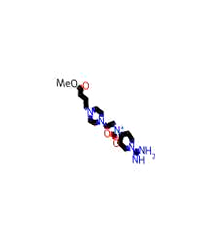 COC(=O)CCCN1CCN(C2C[N+](C)(C3CCN(C(=N)N)CC3)C(=O)O2)CC1